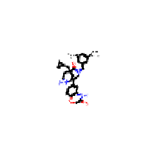 O=C1COc2ccc(CCN(Cc3cc(C(F)(F)F)cc(C(F)(F)F)c3)C(=O)C3(CC4CC4)CCNCC3)cc2N1